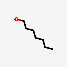 CCCCCCC[O]